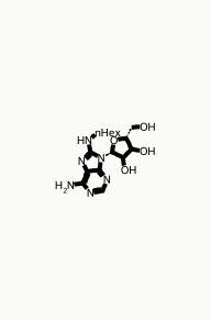 CCCCCCNc1nc2c(N)ncnc2n1[C@@H]1O[C@H](CO)C(O)C1O